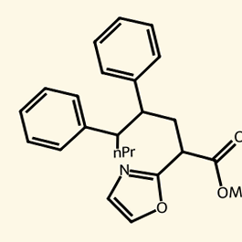 CCCC(c1ccccc1)C(CC(C(=O)OC)c1ncco1)c1ccccc1